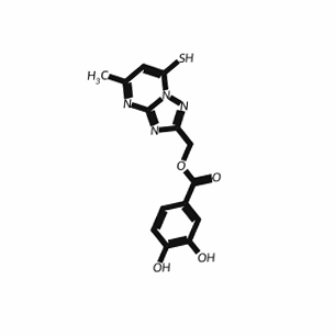 Cc1cc(S)n2nc(COC(=O)c3ccc(O)c(O)c3)nc2n1